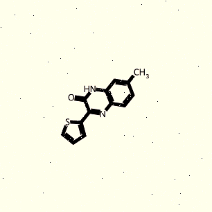 Cc1ccc2nc(-c3cccs3)c(=O)[nH]c2c1